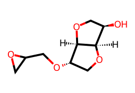 O[C@@H]1CO[C@H]2[C@@H]1OC[C@@H]2OCC1CO1